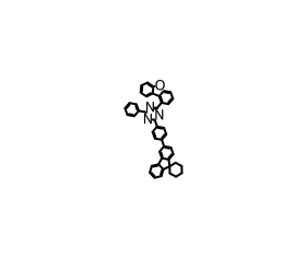 c1ccc(-c2nc(-c3ccc(-c4ccc5c(c4)-c4ccccc4C54CCCCC4)cc3)nc(-c3cccc4oc5ccccc5c34)n2)cc1